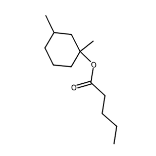 CCCCC(=O)OC1(C)CCCC(C)C1